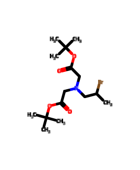 CC(Br)CN(CC(=O)OC(C)(C)C)CC(=O)OC(C)(C)C